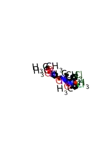 Cc1cc(Cl)ccc1C1c2c(nn(CC(=O)C3CCN(C(=O)OC(C)(C)C)CC3)c2C(C)C)C(=O)N1c1cc(Cl)ccc1C